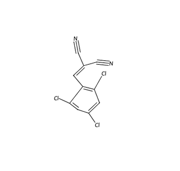 N#CC(C#N)=Cc1c(Cl)cc(Cl)cc1Cl